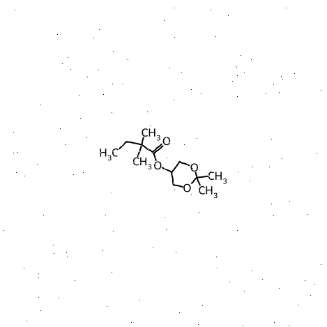 CCC(C)(C)C(=O)OC1COC(C)(C)OC1